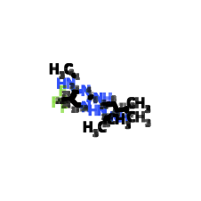 CCNc1nc(N/C(=C/C(=N)C(C)C)NC(C)C)ncc1C(F)(F)F